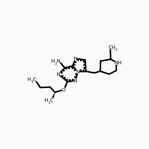 CCC[C@H](C)Oc1nc(N)c2ncc(CC3CCNC(C)C3)n2n1